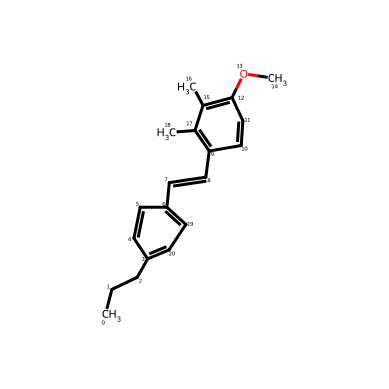 CCCc1ccc(C=Cc2ccc(OC)c(C)c2C)cc1